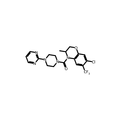 CC1COc2cc(Cl)c(C(F)(F)F)cc2N1C(=O)N1CCN(c2ncccn2)CC1